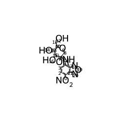 O=[N+]([O-])c1ccc(N[C@]2(O)CO[C@H](CO)[C@@H](O)[C@@H]2O)c2nonc12